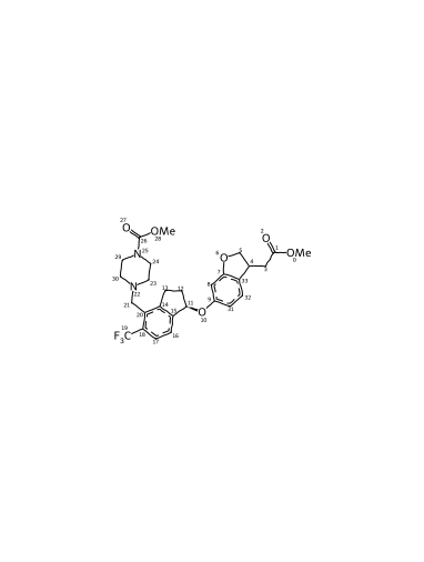 COC(=O)CC1COc2cc(O[C@@H]3CCc4c3ccc(C(F)(F)F)c4CN3CCN(C(=O)OC)CC3)ccc21